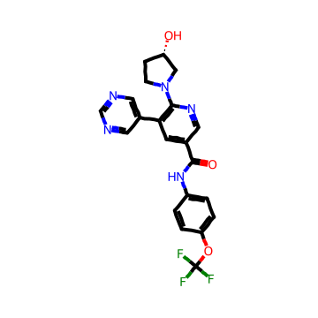 O=C(Nc1ccc(OC(F)(F)F)cc1)c1cnc(N2CC[C@H](O)C2)c(-c2cncnc2)c1